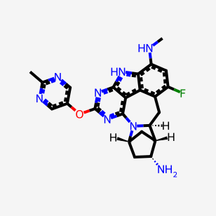 CNc1cc(F)c2c3c1[nH]c1nc(Oc4cnc(C)nc4)nc(c13)N1[C@@H]3C[C@@H]([C@H](N)C3)[C@@H]1C2